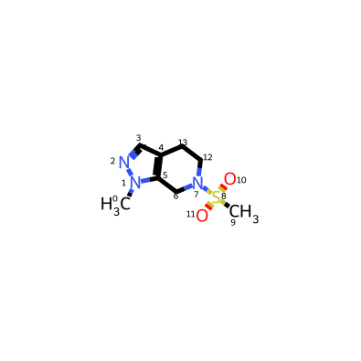 Cn1n[c]c2c1CN(S(C)(=O)=O)CC2